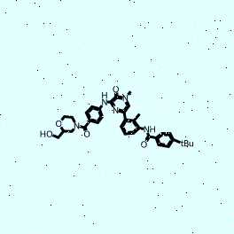 Cc1c(NC(=O)c2ccc(C(C)(C)C)cc2)cccc1-c1cn(C)c(=O)c(Nc2ccc(C(=O)N3CCOC(CO)C3)cc2)n1